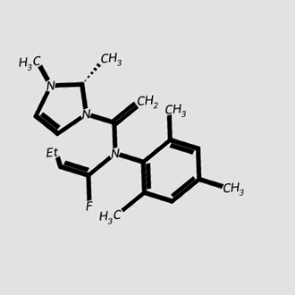 C=C(N(/C(F)=C\CC)c1c(C)cc(C)cc1C)N1C=CN(C)[C@@H]1C